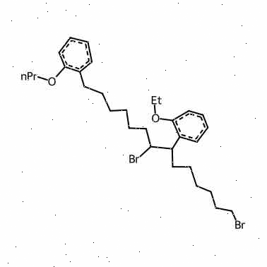 CCCOc1ccccc1CCCCCCC(Br)C(CCCCCCBr)c1ccccc1OCC